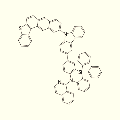 c1ccc([Si]2(c3ccccc3)c3ccccc3N(c3nccc4ccccc34)c3ccc(-c4ccc5c(c4)c4ccccc4n5-c4ccc5cc6ccc7sc8ccccc8c7c6cc5c4)cc32)cc1